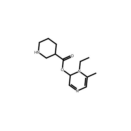 CCN1C(C)=CN=CC1OC(=O)C1CCCNC1